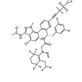 C=NN(CC(=O)N[C@@H](Cc1cc(F)cc(F)c1)c1nc(C#CC(C)(C)S(=O)(=O)C2CC2)ccc1-c1ccc(Cl)c2c(N[S+](C)[O-])nn(C)c12)C1=C(CC(F)F)C(F)(F)CCC1(F)F